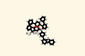 CC1(C)c2ccccc2-c2ccc(N(c3ccc(-c4cccc5c4sc4ccccc45)cc3)c3cccc(-c4ccccc4)c3-c3ccc(-c4ccccc4)cc3)cc21